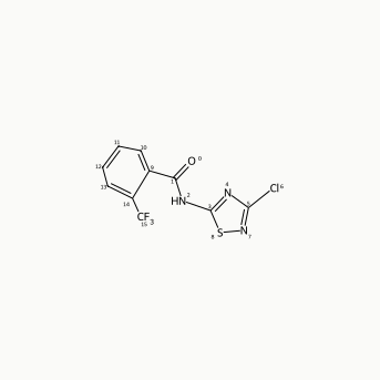 O=C(Nc1nc(Cl)ns1)c1ccccc1C(F)(F)F